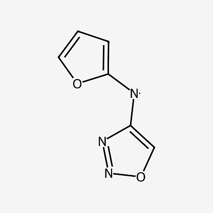 c1coc([N]c2conn2)c1